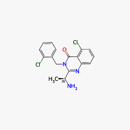 C[C@H](N)c1nc2cccc(Cl)c2c(=O)n1Cc1ccccc1Cl